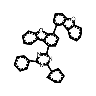 c1ccc(-c2nc(-c3ccccc3)nc(-c3ccc(-c4cccc5oc6ccccc6c45)c4oc5ccccc5c34)n2)cc1